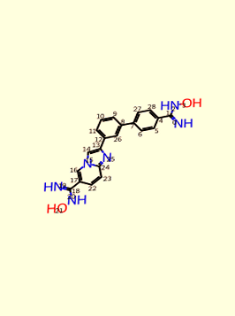 N=C(NO)c1ccc(-c2cccc(-c3cn4cc(C(=N)NO)ccc4n3)c2)cc1